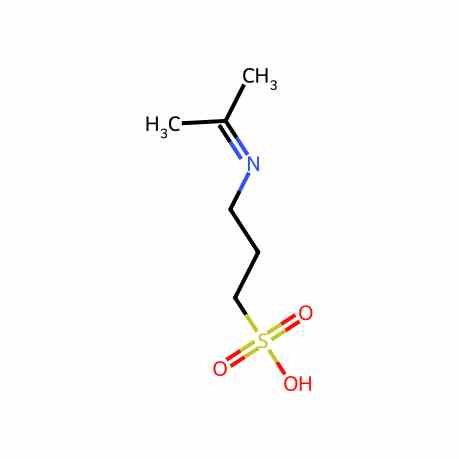 CC(C)=NCCCS(=O)(=O)O